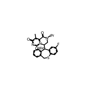 COc1nc(=O)c(C)c2n1C(C1c3ccccc3CSc3ccc(F)cc31)CN(C(C)C)C2=O